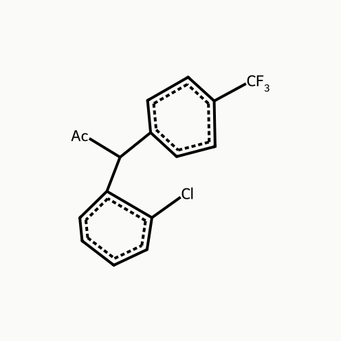 CC(=O)C(c1ccc(C(F)(F)F)cc1)c1ccccc1Cl